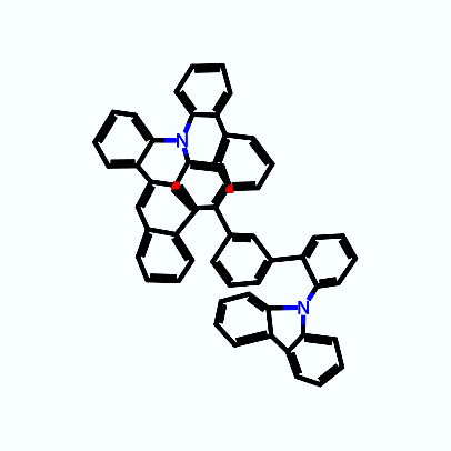 c1ccc(-c2ccccc2N(c2ccc(-c3cccc(-c4ccccc4-n4c5ccccc5c5ccccc54)c3)cc2)c2ccccc2-c2ccc3ccccc3c2)cc1